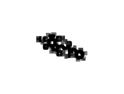 CC1=C(CCC(=O)NCc2ccccc2)C2=C(C)C3(CC3)[C@H](C)C(=O)C2=C1